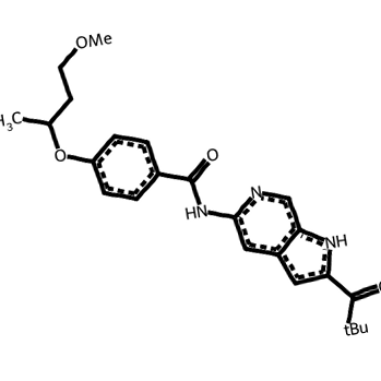 COCCC(C)Oc1ccc(C(=O)Nc2cc3cc(C(=O)C(C)(C)C)[nH]c3cn2)cc1